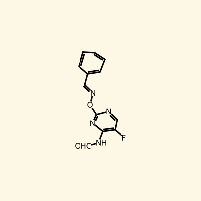 O=CNc1nc(ON=Cc2ccccc2)ncc1F